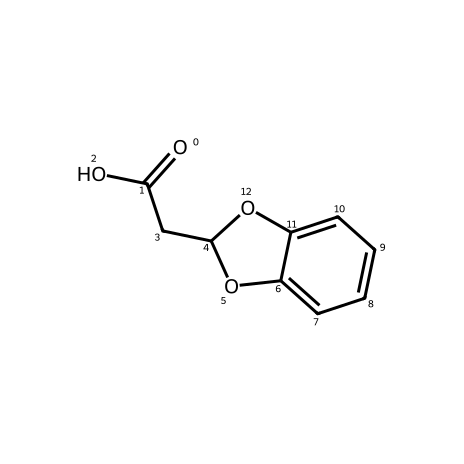 O=C(O)CC1Oc2ccccc2O1